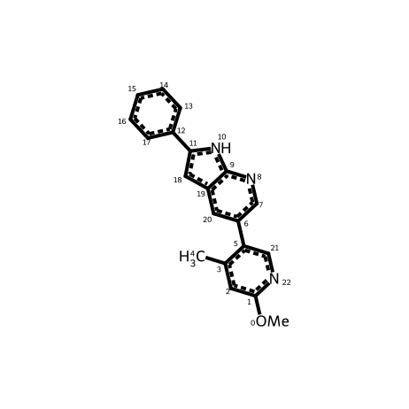 COc1cc(C)c(-c2cnc3[nH]c(-c4ccccc4)cc3c2)cn1